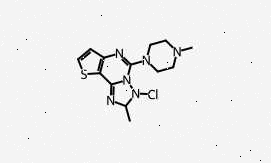 CC1N=C2c3sccc3N=C(N3CCN(C)CC3)N2N1Cl